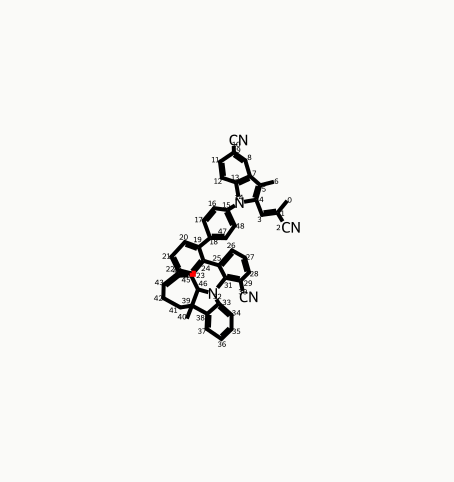 C/C(C#N)=C\c1c(C)c2cc(C#N)ccc2n1-c1ccc(-c2ccccc2-c2cccc(C#N)c2N2c3ccccc3C3(C)CCC=C=CC23)cc1